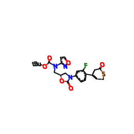 CC(C)(C)OC(=O)N(CC1CN(c2ccc(C3=CCSC(=O)C3)c(F)c2)C(=O)O1)c1ccon1